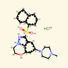 CN1CCN(c2cc3c4c(c2)c(S(=O)(=O)c2cccc5ccccc25)nn4CCO3)CC1.Cl